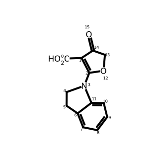 O=C(O)C1=C(N2CCc3ccccc32)OCC1=O